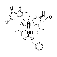 CCC(C)C(NC(=O)OCc1ccccc1)C(=O)N[C@@]1(C(=O)NC(c2n[nH]c(=O)o2)C(C)CC)CCc2[nH]c3c(Cl)cc(Cl)cc3c2C1